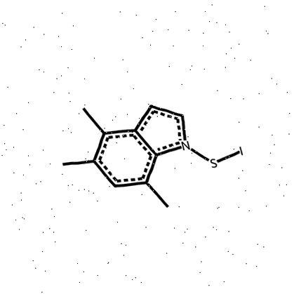 Cc1cc(C)c2c(ccn2SI)c1C